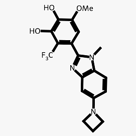 COc1cc(-c2nc3cc(N4CCC4)ccc3n2C)c(C(F)(F)F)c(O)c1O